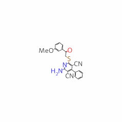 COc1cccc(C(=O)CSc2nc(N)c(C#N)c(-c3ccccc3)c2C#N)c1